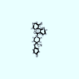 N#CC1(Cc2ccc(F)cc2)CCN(C(=O)c2cccnc2-c2ncncc2F)CC1